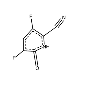 N#Cc1[nH]c(=O)c(F)cc1F